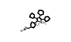 C[Si]1(C)C(c2ccccc2)=C(c2ccccc2)C(c2ccccc2)=C1c1ccc(CN=[N+]=[N-])cc1